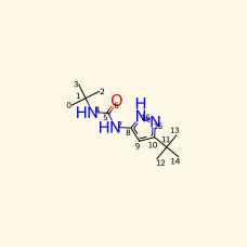 CC(C)(C)NC(=O)Nc1cc(C(C)(C)C)n[nH]1